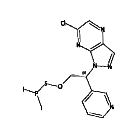 Clc1cnc2cnn([C@@H](COSP(I)I)c3cccnc3)c2n1